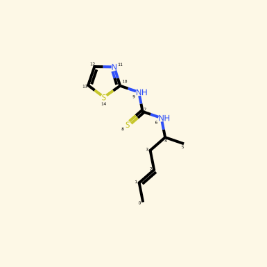 CC=CCC(C)NC(=S)Nc1nccs1